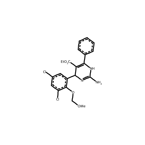 CCOC(=O)C1=C(c2ccccc2)NC(N)=NC1c1cc(Cl)cc(Cl)c1OCOC